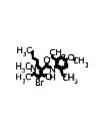 CCCCc1c(C(=O)Nc2c(CC)cc(OC)cc2CC)c(=O)c(Br)c(C)n1C